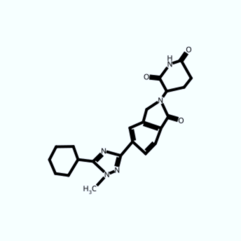 Cn1nc(-c2ccc3c(c2)CN(C2CCC(=O)NC2=O)C3=O)nc1C1CCCCC1